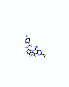 Cc1ccc(C(=O)Nc2ccc(F)c([C@]3(C)Cc4nc(C5CC5)ncc4C(=N)N3)c2)nc1